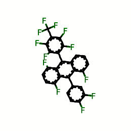 Fc1ccc(-c2c3c(F)cccc3c(-c3c(F)c(F)c(C(F)(F)F)c(F)c3F)c3c(F)ccc(F)c23)cc1F